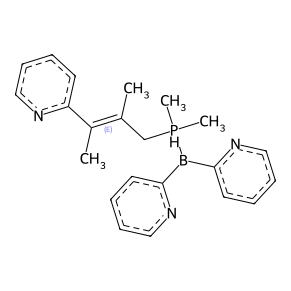 C/C(C[PH](C)(C)B(c1ccccn1)c1ccccn1)=C(/C)c1ccccn1